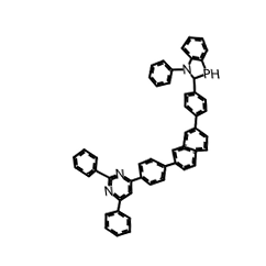 c1ccc(-c2cc(-c3ccc(-c4ccc5ccc(-c6ccc(C7Pc8ccccc8N7c7ccccc7)cc6)cc5c4)cc3)nc(-c3ccccc3)n2)cc1